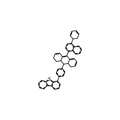 C1=CCC(c2ccc(C3=C4C=CCCC4C(c4ccc(-c5cccc6c5sc5ccccc56)cc4)C4CC=CC=C34)c3ccccc23)C=C1